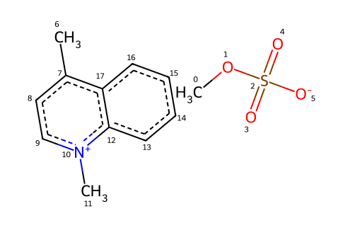 COS(=O)(=O)[O-].Cc1cc[n+](C)c2ccccc12